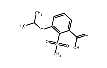 CC(C)Oc1cccc(C(=O)O)c1S(C)(=O)=O